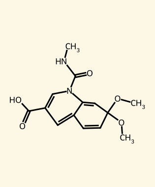 CNC(=O)N1C=C(C(=O)O)C=C2C=CC(OC)(OC)C=C21